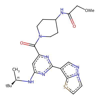 COCC(=O)NC1CCN(C(=O)c2cc(N[C@H](C)C(C)(C)C)nc(-c3cnn4ccsc34)n2)CC1